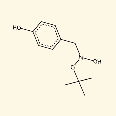 CC(C)(C)ON(O)Cc1ccc(O)cc1